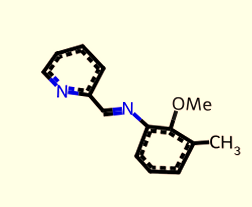 COc1c(C)cccc1N=Cc1ccccn1